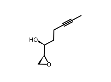 CC#CCC[C@H](O)[C@@H]1CO1